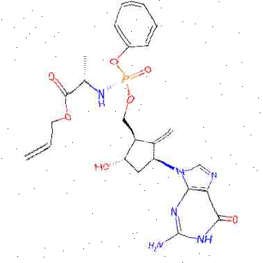 C=CCOC(=O)[C@H](C)N[P@](=O)(OC[C@H]1C(=C)[C@@H](n2cnc3c(=O)[nH]c(N)nc32)C[C@@H]1O)Oc1ccccc1